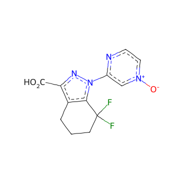 O=C(O)c1nn(-c2c[n+]([O-])ccn2)c2c1CCCC2(F)F